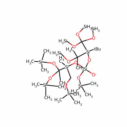 CC(O[Si](C)(C)C)(O[Si](C)(C)C)[Si](C)(CO[Si](C)(C)C)O[Si]([O])(O[Si](C)(C)C)O[Si](C(C)(C)C)(C(C)(C)O[SiH3])C(O[SiH3])(O[SiH3])O[SiH3]